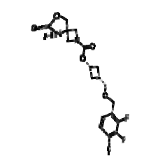 O=C1NC2(CO1)CN(C(=O)O[C@H]1C[C@@H](COCc3ccc(F)c(F)c3F)C1)C2